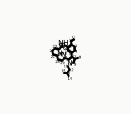 C=Cc1ccc(-c2c(C)cn(CCC(C)C)c2C2=NN3C(=CCC=C3C(N)=O)C=C2)cc1Cl